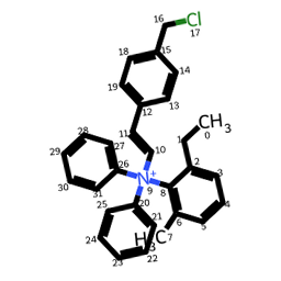 CCc1cccc(C)c1[N+](C=Cc1ccc(CCl)cc1)(c1ccccc1)c1ccccc1